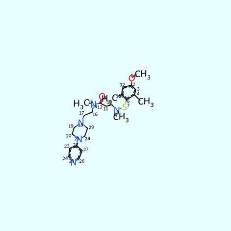 COc1cc(C)c(SN(C)CCC(=O)N(C)CCN2CCN(c3ccncc3)CC2)c(C)c1